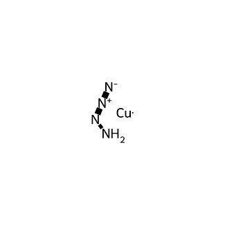 [Cu].[N-]=[N+]=NN